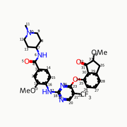 COc1cc(C(=O)NC2CCN(C)CC2)ccc1Nc1ncc(C(F)(F)F)c(Oc2cccc3c2C(=O)C(OC)C3)n1